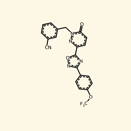 N#Cc1cccc(Cn2nc(-c3nc(-c4ccc(OC(F)(F)F)cc4)no3)ccc2=O)c1